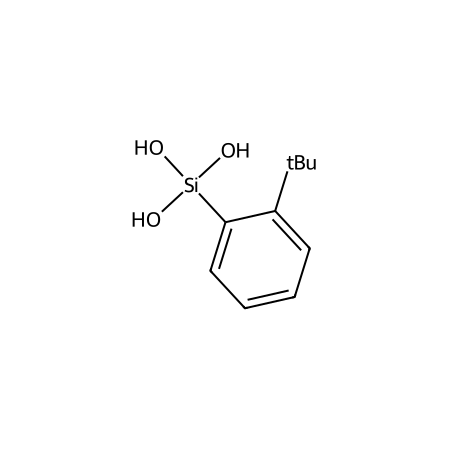 CC(C)(C)c1ccccc1[Si](O)(O)O